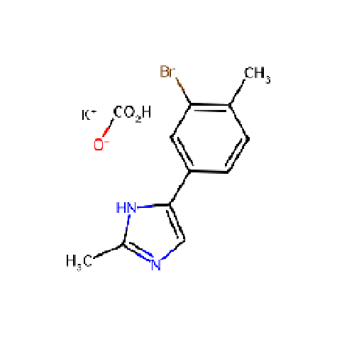 Cc1ncc(-c2ccc(C)c(Br)c2)[nH]1.O=C([O-])O.[K+]